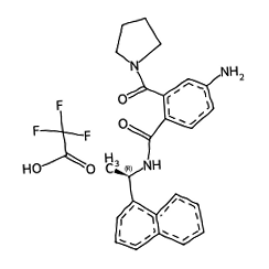 C[C@@H](NC(=O)c1ccc(N)cc1C(=O)N1CCCC1)c1cccc2ccccc12.O=C(O)C(F)(F)F